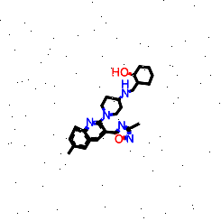 Cc1ccc2nc(N3CCC(NCC4CCCCC4O)CC3)c(-c3nc(C)no3)cc2c1